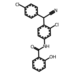 N#CC(c1ccc(Cl)cc1)c1ccc(NC(=O)c2ccccc2O)cc1Cl